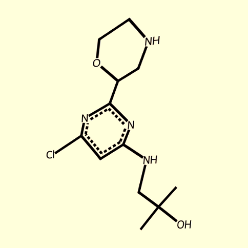 CC(C)(O)CNc1cc(Cl)nc(C2CNCCO2)n1